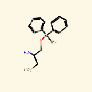 CC(C)(C)[Si](OCC(N)CC(=O)O)(c1ccccc1)c1ccccc1